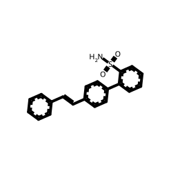 NS(=O)(=O)c1ccccc1-c1ccc(C=Cc2ccccc2)cc1